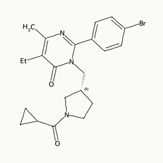 CCc1c(C)nc(-c2ccc(Br)cc2)n(C[C@@H]2CCN(C(=O)C3CC3)C2)c1=O